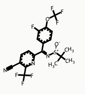 CC(C)(C)[S@@+]([O-])/N=C(\c1ccc(OC(F)(F)F)c(F)c1)c1ccc(C#N)c(C(F)(F)F)n1